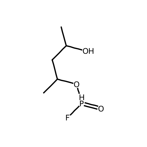 CC(O)CC(C)O[PH](=O)F